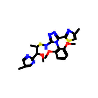 COc1cccc(OC)c1-n1c(NSC(C)C(OC)c2ncc(C)cn2)nnc1-c1nc(C)cs1